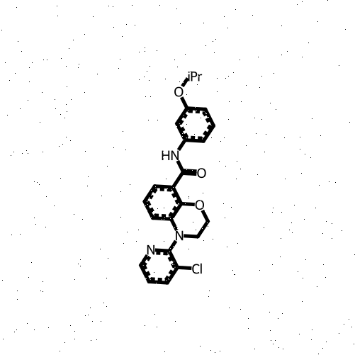 CC(C)Oc1cccc(NC(=O)c2cccc3c2OCCN3c2ncccc2Cl)c1